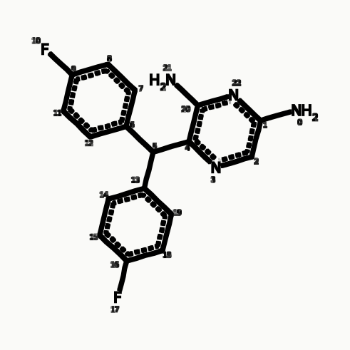 Nc1cnc(C(c2ccc(F)cc2)c2ccc(F)cc2)c(N)n1